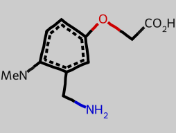 CNc1ccc(OCC(=O)O)cc1CN